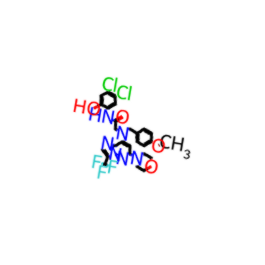 COc1ccc(CN(CC(=O)Nc2cc(Cl)c(Cl)cc2O)c2cc(N3CCOCC3)nn3c(C(F)(F)F)cnc23)cc1